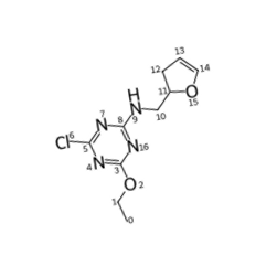 CCOc1nc(Cl)nc(NCC2CC=CO2)n1